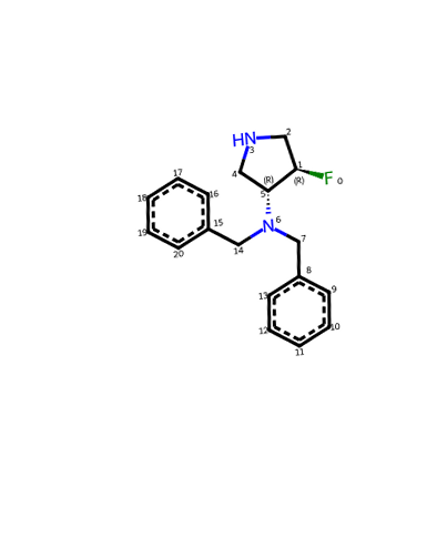 F[C@@H]1CNC[C@H]1N(Cc1ccccc1)Cc1ccccc1